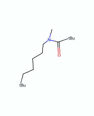 CN(CCCCCC(C)(C)C)C(=O)C(C)(C)C